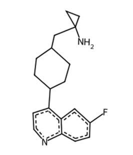 NC1(CC2CCC(c3ccnc4ccc(F)cc34)CC2)CC1